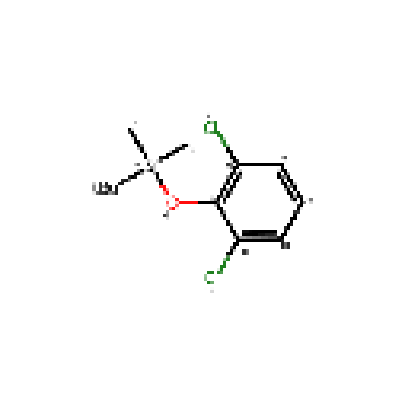 CC(C)(C)[Si](C)(C)Oc1c(Cl)cccc1Cl